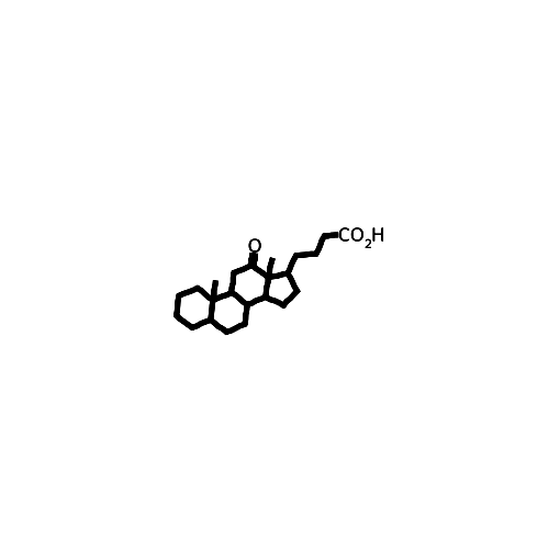 CC12CCCCC1CCC1C2CC(=O)C2(C)C(CCCC(=O)O)CCC12